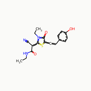 CCNC(=O)/C(C#N)=c1\sc(=C=Cc2ccc(O)cc2)c(=O)n1CC